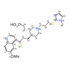 COc1ccc2nccc([C@H](F)CC[C@@H]3CCN(CCCSc4nccn4C)C[C@H]3CCC(=O)O)c2c1